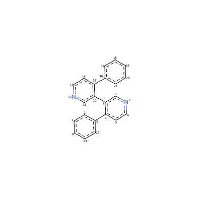 c1ccc(-c2ccncc2-c2cnccc2-c2ccccc2)cc1